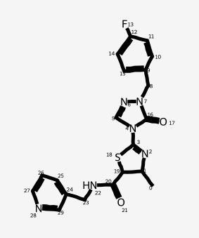 CC1N=C(n2cnn(Cc3ccc(F)cc3)c2=O)SC1C(=O)NCc1cccnc1